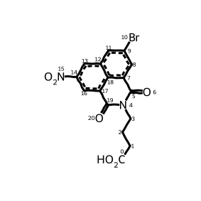 O=C(O)CCCN1C(=O)c2cc(Br)cc3cc([N+](=O)[O-])cc(c23)C1=O